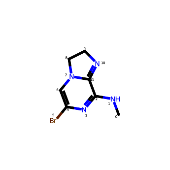 CNC1=NC(Br)=CN2CCN=C12